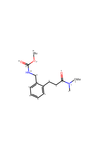 CON(C)C(=O)CCc1ccccc1CNC(=O)OC(C)(C)C